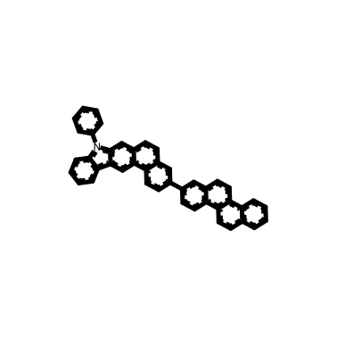 c1ccc(-n2c3ccccc3c3cc4c(ccc5cc(-c6ccc7c(ccc8c9ccccc9ccc78)c6)ccc54)cc32)cc1